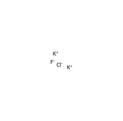 [Cl-].[F-].[K+].[K+]